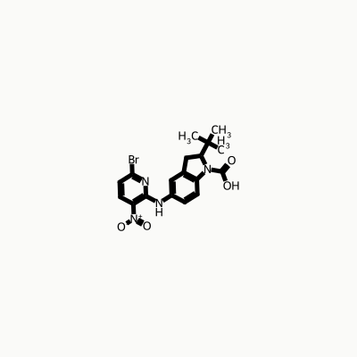 CC(C)(C)C1Cc2cc(Nc3nc(Br)ccc3[N+](=O)[O-])ccc2N1C(=O)O